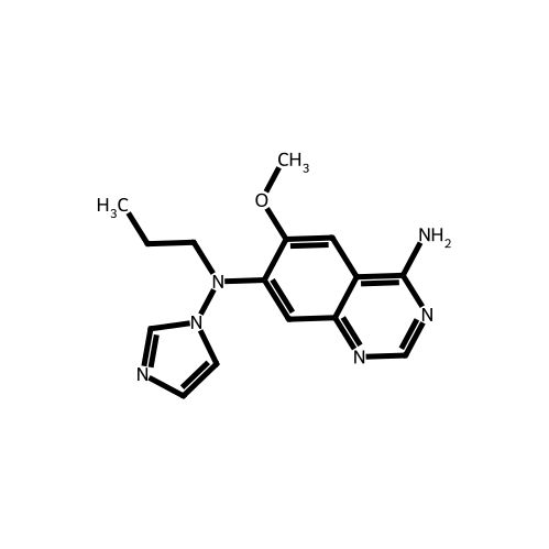 CCCN(c1cc2ncnc(N)c2cc1OC)n1ccnc1